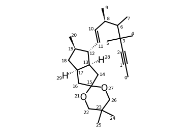 CC#CC(C)(C)C(C)[C@H](C)/C=C/[C@@H]1[C@H]2CC3(C[C@H]2C[C@H]1C)OCC(C)(C)CO3